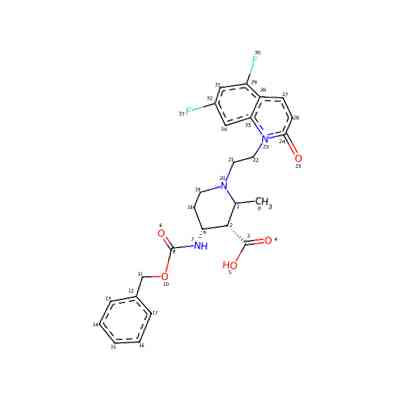 CC1[C@H](C(=O)O)[C@H](NC(=O)OCc2ccccc2)CCN1CCn1c(=O)ccc2c(F)cc(F)cc21